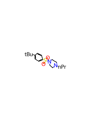 CCCN1CCN(S(=O)(=O)c2ccc(C(C)(C)C)cc2)CC1